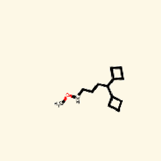 [SiH3]O[SiH]CCCC(C1CCC1)C1CCC1